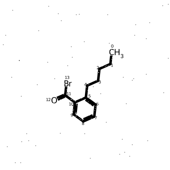 CCCCCc1ccccc1C(=O)Br